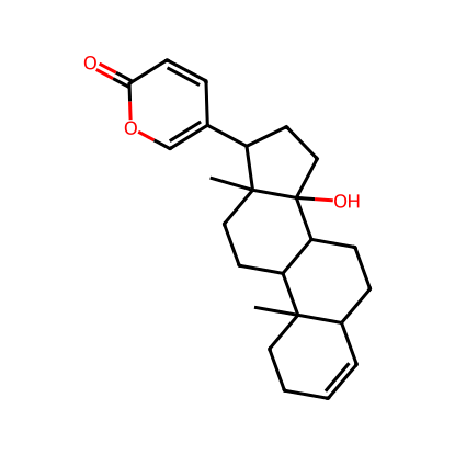 CC12CCC=CC1CCC1C2CCC2(C)C(c3ccc(=O)oc3)CCC12O